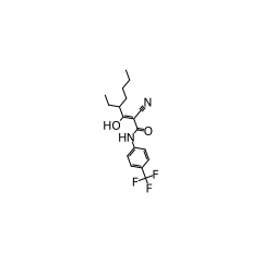 CCCCC(CC)C(O)=C(C#N)C(=O)Nc1ccc(C(F)(F)F)cc1